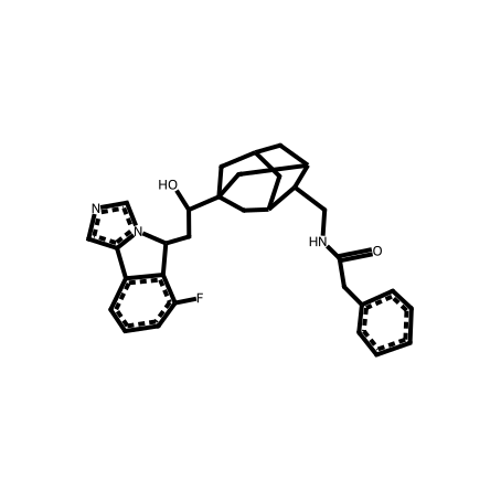 O=C(Cc1ccccc1)NCC1C2CC3CC1CC(C(O)CC1c4c(F)cccc4-c4cncn41)(C3)C2